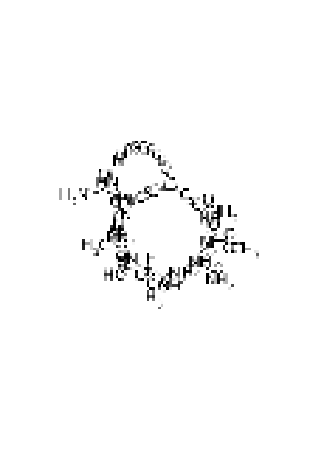 COC(=O)CC[C@@H]1NC(=O)[C@H](CCC(N)=O)NC(=O)[C@@H]2CCCN2C(=O)[C@H]([C@@H](C)O)NC(=O)[C@H](CC(=O)O)NC(=O)[C@H](CC(C)C)NC(=O)[C@@H]2CCCN2C(=O)[C@@H]2CSCc3cc(cc(c3)OCCCCCCO/N=C/C(=O)N[C@@H](CCCCN)C(=O)N2)CSC[C@@H](C(N)=O)NC1=O